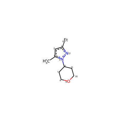 CCc1cc(C)n(C2CCOCC2)n1